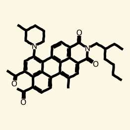 CCCCC(CC)CN1C(=O)c2ccc3c4c(N5CCCC(C)C5)cc(C(C)=O)c5c(C(C)=O)ccc(c6c(C)cc(c2c36)C1=O)c54